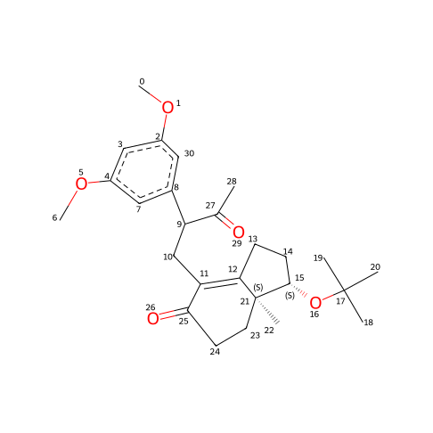 COc1cc(OC)cc(C(CC2=C3CC[C@H](OC(C)(C)C)[C@@]3(C)CCC2=O)C(C)=O)c1